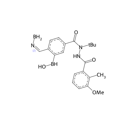 B/N=C\c1ccc(C(=O)N(NC(=O)c2cccc(OC)c2C)C(C)(C)C)cc1BO